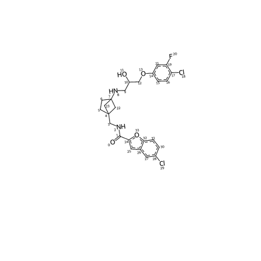 O=C(NCC12CCC(NCC(O)COc3ccc(Cl)c(F)c3)(C1)C2)c1cc2cc(Cl)ccc2o1